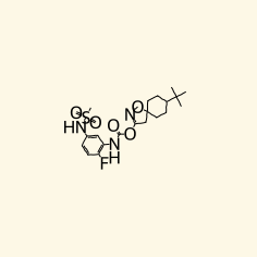 CC(C)(C)C1CCC2(CC1)CC(OC(=O)Nc1cc(NS(C)(=O)=O)ccc1F)=NO2